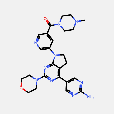 CN1CCN(C(=O)c2cncc(N3CCc4c(-c5cnc(N)nc5)nc(N5CCOCC5)nc43)c2)CC1